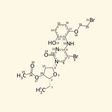 CC[C@H]1O[C@@H](n2cc(Br)c(Nc3c(O)cccc3OCCBr)nc2=O)CC1OC(C)=O